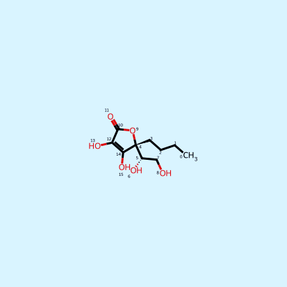 CCCC[C@]1([C@@H](O)CO)OC(=O)C(O)=C1O